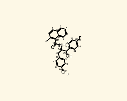 Cc1ccc2ccccc2c1C(=O)NC(Cc1ccc(C(F)(F)F)cc1)C(O)c1ccc(F)cc1